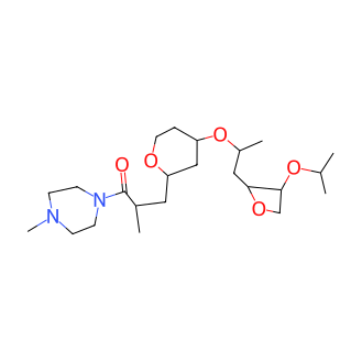 CC(C)OC1COC1CC(C)OC1CCOC(CC(C)C(=O)N2CCN(C)CC2)C1